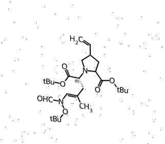 C=CC1CC(C(=O)OC(C)(C)C)N([C@H](CC(C)=CN(C=O)OC(C)(C)C)C(=O)OC(C)(C)C)C1